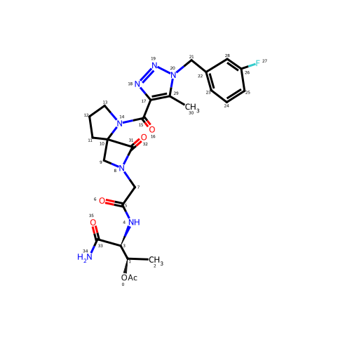 CC(=O)O[C@H](C)[C@H](NC(=O)CN1CC2(CCCN2C(=O)c2nnn(Cc3cccc(F)c3)c2C)C1=O)C(N)=O